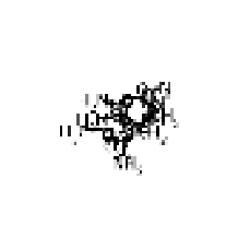 CCCCc1ccc(C(=O)N[C@@H](CCCCN)CC(=O)N(C)[C@@H]2C(=O)N[C@@H](C)C(=O)N[C@H](C(=O)NCC#N)Cc3ccc(OCCN)c(c3)-c3cc2ccc3OCCN)c(C)c1